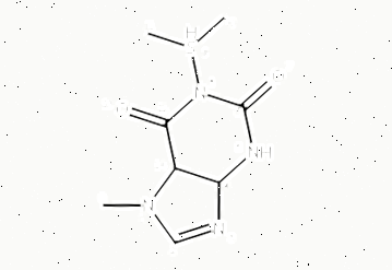 CN1C=NC2NC(=O)N([SH](C)C)C(=O)C21